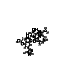 COC(=O)C[C@H](NC(=O)[C@@H]1C[C@@H](O)CN1C(=O)[C@H]1n2nnc(C3CC3)c2CN(C)CC1(C)C)c1ccc(-c2scnc2C)cc1